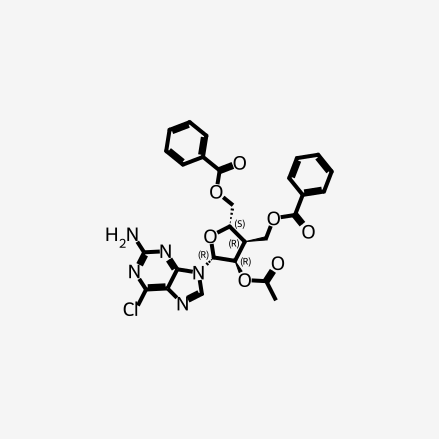 CC(=O)O[C@@H]1[C@H](COC(=O)c2ccccc2)[C@@H](COC(=O)c2ccccc2)O[C@H]1n1cnc2c(Cl)nc(N)nc21